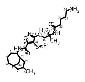 CC1CC2CCCC(NC(=O)c3onc(OCC(C)(C)NC(=O)CCCCN)c3SC(C)C)C(C1)C2